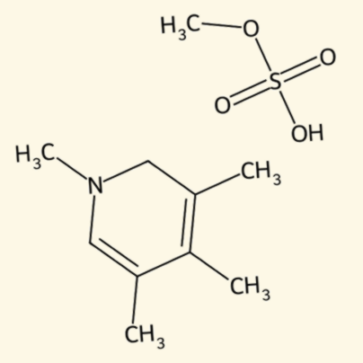 CC1=CN(C)CC(C)=C1C.COS(=O)(=O)O